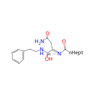 CCCCCCCC(=O)/N=C(\CC(N)=O)[C@@H](O)NCCc1ccccc1